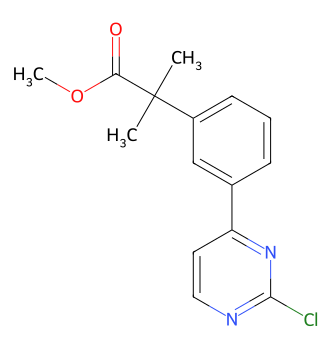 COC(=O)C(C)(C)c1cccc(-c2ccnc(Cl)n2)c1